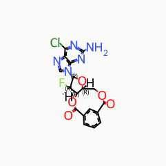 C[C@@]1(F)[C@@H]2OC(=O)c3cccc(c3)C(=O)OC[C@H]2O[C@H]1n1cnc2c(Cl)nc(N)nc21